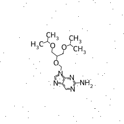 CC(C)OCC(COC(C)C)OCn1cnc2cnc(N)nc21